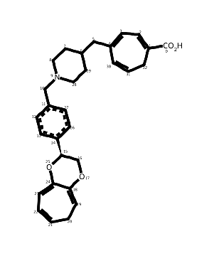 O=C(O)C1=CC=C(CC2CCN(Cc3ccc([C@H]4COC5=CCC=CC=C5O4)cc3)CC2)C=CC1